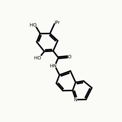 CC(C)c1cc(C(=O)Nc2ccc3ncccc3c2)c(O)cc1O